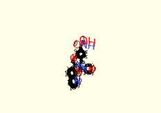 O=C(NO)c1ccc2c(c1)OC[C@H](c1ccc3cccnc3c1)N(C(=O)N1CCOCC1)C2